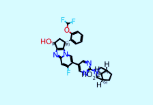 O=C(O)[C@@H]1[C@@H]2CC[C@H]1CN(c1ncc(-c3cn4c5c(nc4cc3F)[C@H](O)C[C@@H]5c3ccccc3OC(F)F)cn1)C2